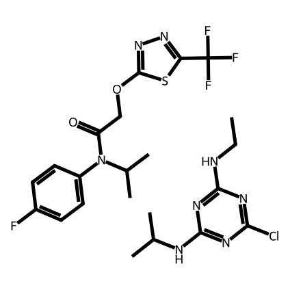 CC(C)N(C(=O)COc1nnc(C(F)(F)F)s1)c1ccc(F)cc1.CCNc1nc(Cl)nc(NC(C)C)n1